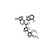 Cc1c(-c2ncc(C(=O)N3CCc4[nH]cnc4[C@@H]3c3cc4c(F)cccn4n3)o2)cnn1C